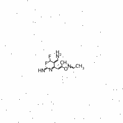 C/C=N/O/C(C)=C/C(=N/C=N)C(=C/N)/C(F)F